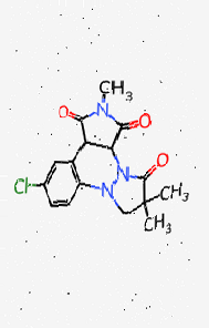 CN1C(=O)C2c3cc(Cl)ccc3N3CC(C)(C)C(=O)N3C2C1=O